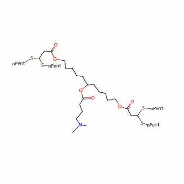 CCCCCSC(CC(=O)OCCCCCC(CCCCCOC(=O)CC(SCCCCC)SCCCCC)OC(=O)CCCN(C)C)SCCCCC